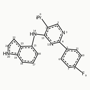 CC(C)c1cnc(-c2ccc(F)cc2)nc1Nc1cccc2[nH]ccc12